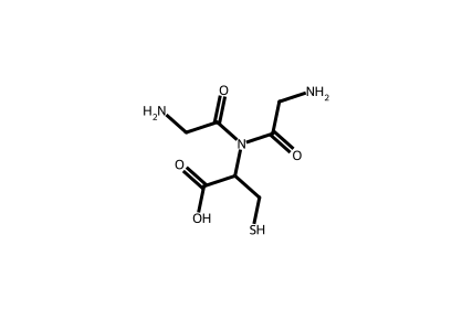 NCC(=O)N(C(=O)CN)C(CS)C(=O)O